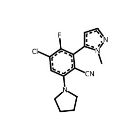 Cn1nccc1-c1c(F)c(Cl)cc(N2CCCC2)c1C#N